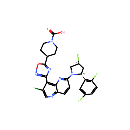 O=C(O)N1CCC(c2nc(-c3c(Cl)cnc4ccc(N5C[C@@H](F)C[C@@H]5c5cc(F)ccc5F)nc34)no2)CC1